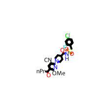 CCCC(=O)c1cc(C#N)c(N2CCC(C(=O)NS(=O)(=O)Cc3ccc(Cl)cc3F)CC2)nc1OC